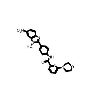 O=C(Nc1ccc(-c2nc3ccc([N+](=O)[O-])cc3n2O)cc1)c1cccc(N2CCOCC2)n1